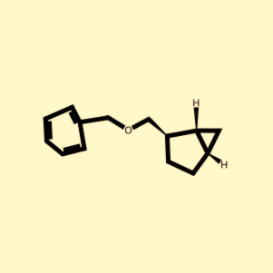 c1ccc(COC[C@@H]2CC[C@H]3C[C@@H]23)cc1